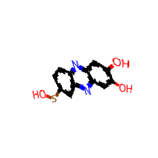 OSc1ccc2nc3cc(O)c(O)cc3nc2c1